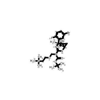 CC(C)(C)OC(=O)N(COCC[Si](C)(C)C)C1=N[C@](C)(c2cc(Br)ccc2F)C2C[C@]2(C(=O)O)S1